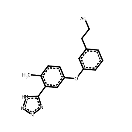 CC(=O)CCc1cccc(Oc2ccc(C)c(-c3nnn[nH]3)c2)c1